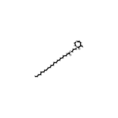 CCCCCCCCCCCCCCCCCCCCCC(=O)OCCCN1CCN=CCC(C)C1=O